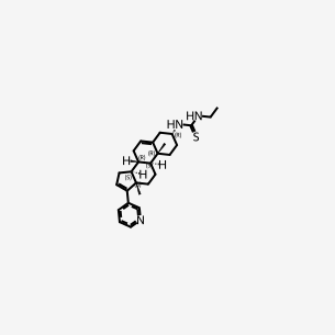 CCNC(=S)N[C@@H]1CC[C@@]2(C)C(=CC[C@@H]3[C@@H]2CC[C@]2(C)C(c4cccnc4)=CC[C@@H]32)C1